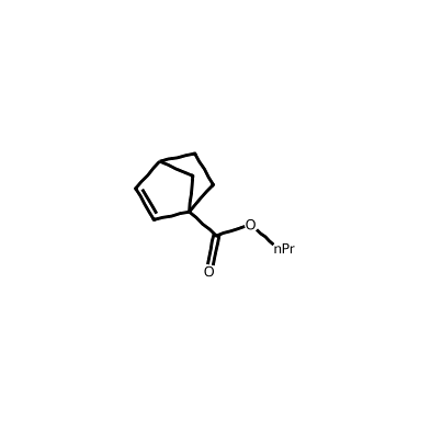 CCCOC(=O)C12C=CC(CC1)C2